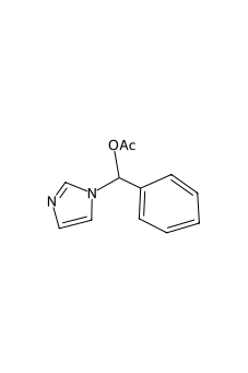 CC(=O)OC(c1ccccc1)n1ccnc1